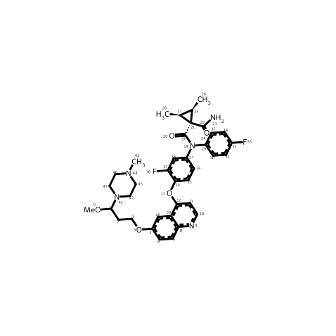 COC(CCOc1ccc2nccc(Oc3ccc(N(C(=O)[C@@]4(C(N)=O)[C@H](C)[C@@H]4C)c4ccc(F)cc4)cc3F)c2c1)N1CCN(C)CC1